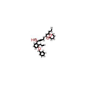 C=CCc1c(OCc2ccccc2)cccc1C(O)C#CCC[C@H](CCCCC)OC1CCCCO1